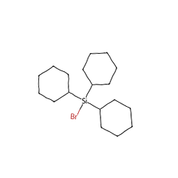 Br[Si](C1CCCCC1)(C1CCCCC1)C1CCCCC1